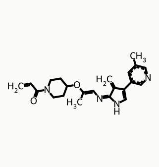 C=CC(=O)N1CCC(O/C(C)=C/N=C2/NC=C(c3cncc(C)c3)C2=C)CC1